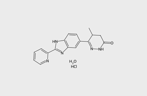 CC1CC(=O)NN=C1c1ccc2[nH]c(-c3ccccn3)nc2c1.Cl.O